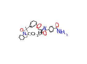 Cc1oc(-c2ccc(C(N)=O)cc2)nc1COc1cccc(C(C)(C)C(=O)N2c3ccccc3CC2C(=O)O)c1